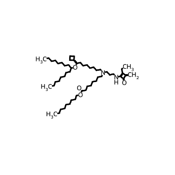 C=C1C(=O)C(NCCCN(CCCCCCCC(=O)OCCCCCCCCC)CCCCCCCC(OC(CCCCCCCC)CCCCCCCC)=C2CCC2)=C1CC